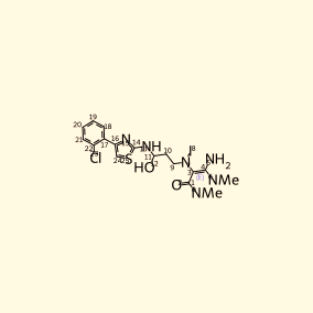 CNC(=O)/C(=C(/N)NC)N(I)CCC(O)Nc1nc(-c2ccccc2Cl)cs1